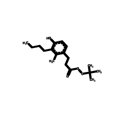 CCCCc1c(O)ccc(CCC(=O)OOC(C)(C)C)c1C